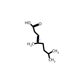 C/C(=C\CC(=O)O)CCC(C)C